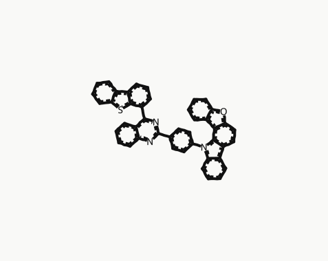 c1ccc2c(-c3cccc4c3sc3ccccc34)nc(-c3ccc(-n4c5ccccc5c5ccc6oc7ccccc7c6c54)cc3)nc2c1